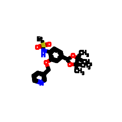 CCS(=O)(=O)Nc1ccc(B2OC(C)(C)C(C)(C)O2)cc1OCc1cccnc1